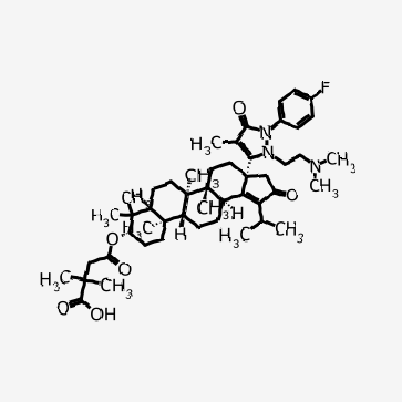 Cc1c([C@@]23CC[C@]4(C)[C@H](CC[C@@H]5[C@@]6(C)CC[C@H](OC(=O)CC(C)(C)C(=O)O)C(C)(C)[C@@H]6CC[C@]54C)C2=C(C(C)C)C(=O)C3)n(CCN(C)C)n(-c2ccc(F)cc2)c1=O